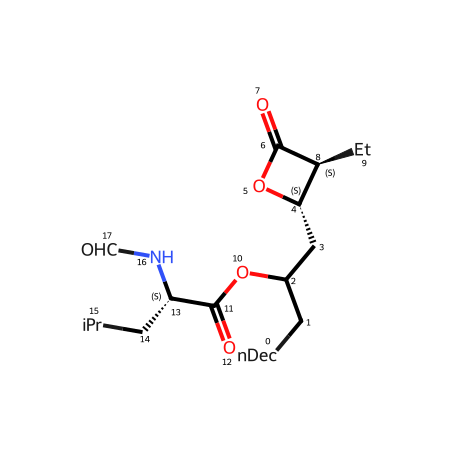 CCCCCCCCCCCC(C[C@@H]1OC(=O)[C@H]1CC)OC(=O)[C@H](CC(C)C)NC=O